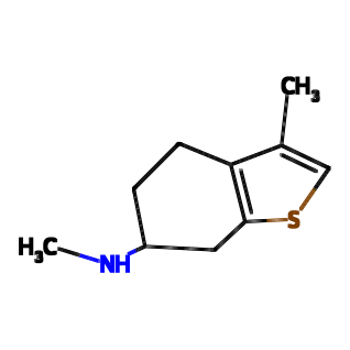 CNC1CCc2c(C)csc2C1